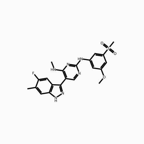 CNc1nc(Nc2cc(OC)cc(S(C)(=O)=O)c2)ncc1-c1n[nH]c2cc(C)c(F)cc12